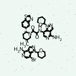 C[C@H]1CC[C@H](c2ccc3scnc3c2)N(C(=O)C(=O)Nc2cnc(N)c3cnn(C4CCCCO4)c23)C1.Nc1ncc(Br)c2c1cnn2C1CCCCO1